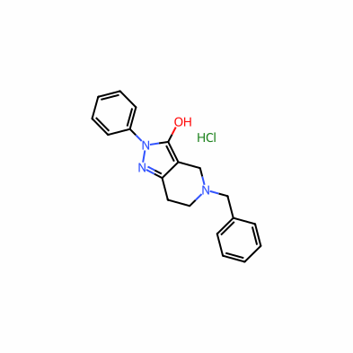 Cl.Oc1c2c(nn1-c1ccccc1)CCN(Cc1ccccc1)C2